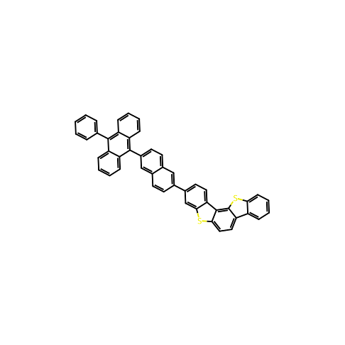 c1ccc(-c2c3ccccc3c(-c3ccc4cc(-c5ccc6c(c5)sc5ccc7c8ccccc8sc7c56)ccc4c3)c3ccccc23)cc1